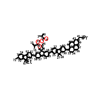 C=C(C)C(=O)OCCCC1(COC(=O)C(=C)C)c2cc(-c3ccc4c(c3)C(C)(C)c3cc(-c5ccc6ccc7cc(CC(C)C)cc8ccc5c6c78)ccc3-4)ccc2-c2ccc(-c3ccc4c(c3)C(C)(CC)c3cc(C)ccc3-4)cc21